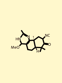 [C-]#[N+]C1C[C@]2(C)C3=C(CC[C@H]2C(C)(C)C1=O)C(OC)NC(C)=N3